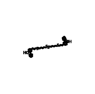 Oc1ccc(CCCSCCCCCCSSCCCCCCSCCCc2ccc(O)c(-c3ccccc3)c2)cc1-c1ccccc1